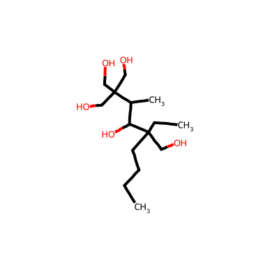 CCCCC(CC)(CO)C(O)C(C)C(CO)(CO)CO